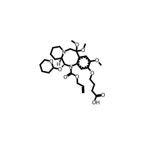 C=CCOC(=O)N1c2cc(OCCCC(=O)O)c(OC)cc2C(OC)(OC)CN2CCCC[C@H]2[C@@H]1OC1CCCCO1